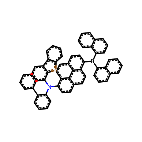 c1ccc(-c2ccccc2N(c2ccc3ccc4c(B(c5cccc6ccccc56)c5cccc6ccccc56)ccc5ccc2c3c54)c2cccc3c2sc2ccccc23)cc1